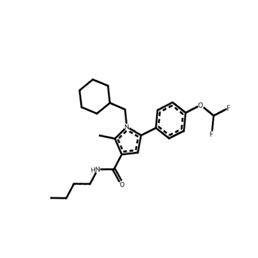 CCCCNC(=O)c1cc(-c2ccc(OC(F)F)cc2)n(CC2CCCCC2)c1C